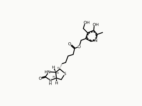 Cc1ncc(COC(=O)CCCC[C@@H]2SC[C@@H]3NC(=O)N[C@@H]32)c(CO)c1O